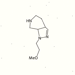 COCCN1N=CC2CCNCC21